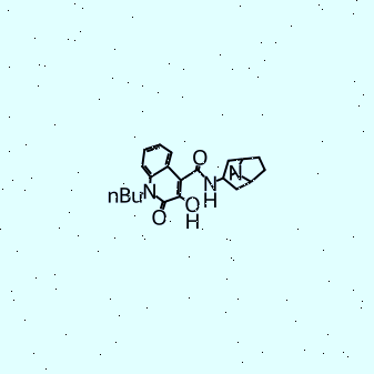 CCCCn1c(=O)c(O)c(C(=O)NC2CC3CCC(C2)N3C)c2ccccc21